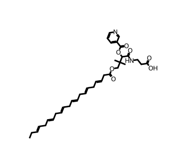 CCC=CCC=CCC=CCC=CCC=CCC=CCC(=O)OCC(C)(C)C(OC(=O)c1cccnc1)C(=O)NCCC(=O)O